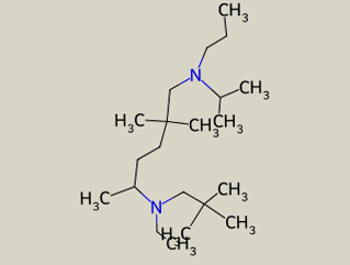 CCCN(CC(C)(C)CCC(C)N(CC)CC(C)(C)C)C(C)C